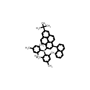 Cc1cc(C)c(B(c2c(C)cc(C)cc2C)c2cc(-c3cccc4ccccc34)c3ccc4cc(C(C)(C)C)cc5ccc2c3c54)c(C)c1